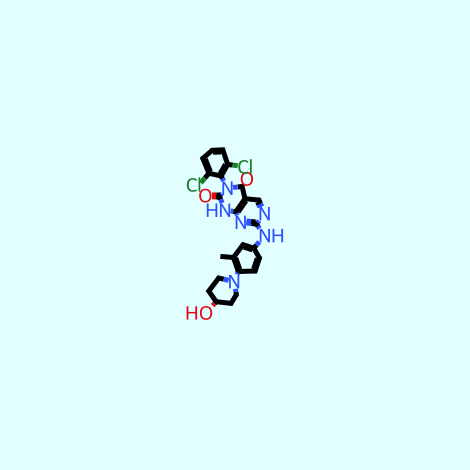 Cc1cc(Nc2ncc3c(=O)n(-c4c(Cl)cccc4Cl)c(=O)[nH]c3n2)ccc1N1CCC(O)CC1